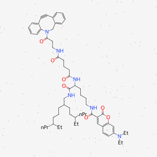 CCCC(CC)CCCC(CCC(CC)CCC)CNC(=O)C(CCCCNC(=O)c1cc2ccc(N(CC)CC)cc2oc1=O)NC(=O)CCCC(=O)NCCC(=O)N1Cc2ccccc2C#Cc2ccccc21